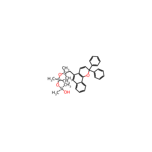 C[Si](C)(O)O[Si](C)(C)O[Si](C)(C)Cc1cc2ccccc2c2c1C=CC(c1ccccc1)(c1ccccc1)O2